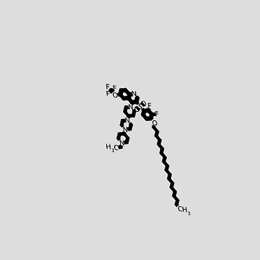 CCCCCCCCCCCCCCCCCCCCOc1ccc(S(=O)(=O)c2cnc3ccc(OC(F)(F)F)cc3c2N2CCC(N3CCN(C4CCN(CC)CC4)CC3)CC2)c(F)c1F